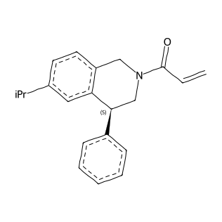 C=CC(=O)N1Cc2ccc(C(C)C)cc2[C@H](c2ccccc2)C1